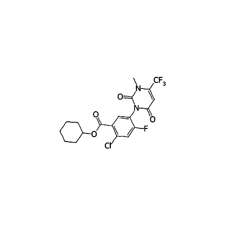 Cn1c(C(F)(F)F)cc(=O)n(-c2cc(C(=O)OC3CCCCC3)c(Cl)cc2F)c1=O